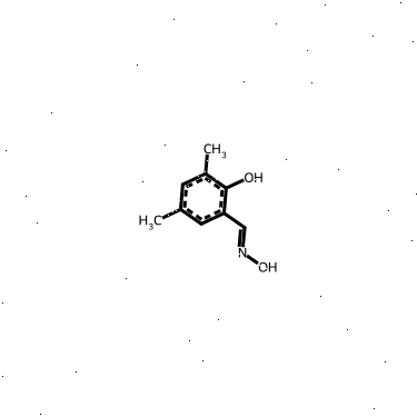 Cc1cc(C)c(O)c(/C=N/O)c1